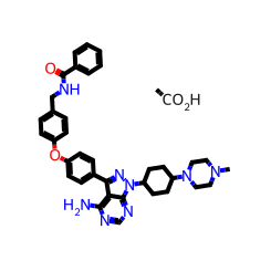 CC(=O)O.CN1CCN(C2CCC(n3nc(-c4ccc(Oc5ccc(CNC(=O)c6ccccc6)cc5)cc4)c4c(N)ncnc43)CC2)CC1